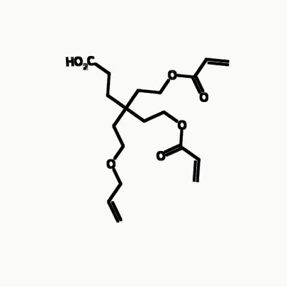 C=CCOCCC(CCOC(=O)C=C)(CCOC(=O)C=C)CCC(=O)O